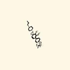 CCC[C@H]1CC[C@H](COc2ccc(-c3ccc(OC(F)(F)F)cc3)c(F)c2F)CC1